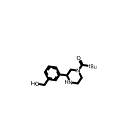 CC(C)(C)C(=O)N1CCNC(c2cccc(CO)c2)C1